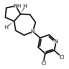 Clc1cc(N2CC[C@H]3CCN[C@H]3CC2)cnc1Cl